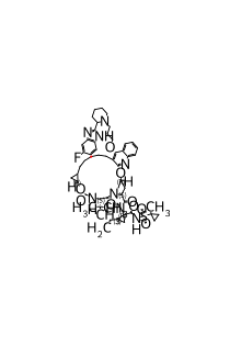 C=C[C@@H]1C[C@]1(NC(=O)[C@@H]1C[C@@H]2CN1C(=O)[C@H](C(C)(C)C)NC(=O)O[C@@H]1CC1CCCCCc1c(nc3ccccc3c1OCCCN1CCCCC1c1nc3cc(F)ccc3[nH]1)O2)C(=O)NS(=O)(=O)C1(C)CC1